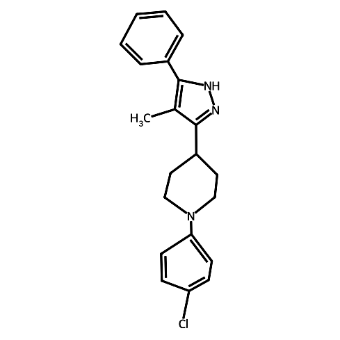 Cc1c(C2CCN(c3ccc(Cl)cc3)CC2)n[nH]c1-c1ccccc1